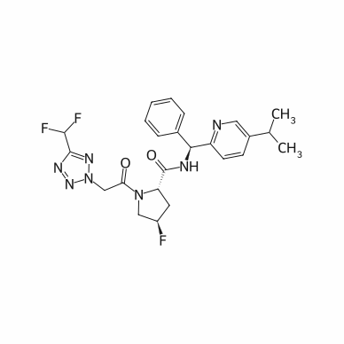 CC(C)c1ccc([C@@H](NC(=O)[C@@H]2C[C@@H](F)CN2C(=O)Cn2nnc(C(F)F)n2)c2ccccc2)nc1